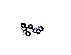 c1cc(-c2ccc3ccc4cccnc4c3n2)cc(-c2c3ccccc3nc3sc4ccccc4c23)c1